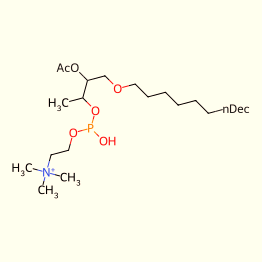 CCCCCCCCCCCCCCCCOCC(OC(C)=O)C(C)OP(O)OCC[N+](C)(C)C